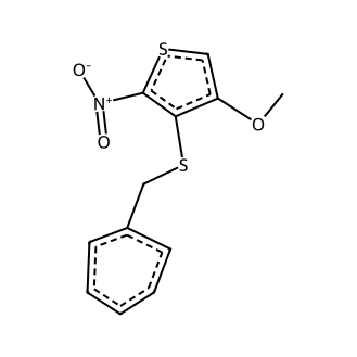 COc1csc([N+](=O)[O-])c1SCc1ccccc1